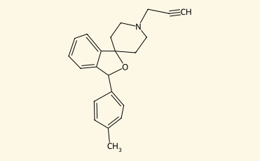 C#CCN1CCC2(CC1)OC(c1ccc(C)cc1)c1ccccc12